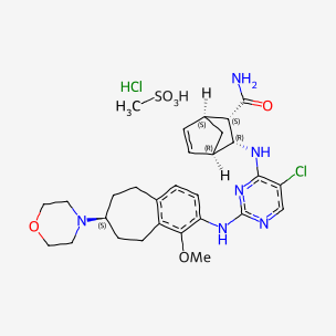 COc1c(Nc2ncc(Cl)c(N[C@H]3[C@@H](C(N)=O)[C@@H]4C=C[C@H]3C4)n2)ccc2c1CC[C@@H](N1CCOCC1)CC2.CS(=O)(=O)O.Cl